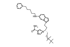 CC(C)(C)[Si](C)(C)OC[C@@H](CCn1ccc2ccc(NCCCCCc3ccccc3)cc21)n1cnc(C(N)=O)c1